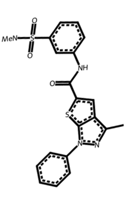 CNS(=O)(=O)c1cccc(NC(=O)c2cc3c(C)nn(-c4ccccc4)c3s2)c1